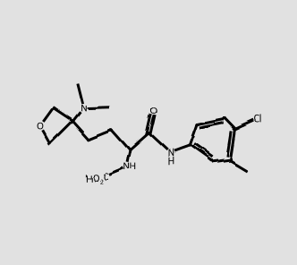 Cc1cc(NC(=O)C(CCC2(N(C)C)COC2)NC(=O)O)ccc1Cl